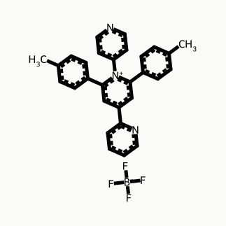 Cc1ccc(-c2cc(-c3ccccn3)cc(-c3ccc(C)cc3)[n+]2-c2ccncc2)cc1.F[B-](F)(F)F